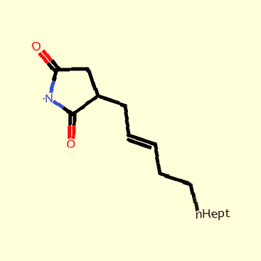 CCCCCCCCCC=CCC1CC(=O)[N]C1=O